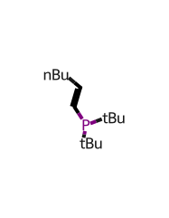 CCCCC=CP(C(C)(C)C)C(C)(C)C